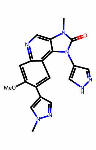 COc1cc2ncc3c(c2cc1-c1cnn(C)c1)n(-c1cn[nH]c1)c(=O)n3C